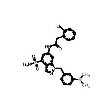 CN(C)c1cccc(Cn2ncc3c(S(N)(=O)=O)cc(NC(=O)Cc4ccccc4Cl)cc32)c1